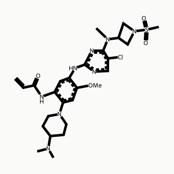 C=CC(=O)Nc1cc(Nc2ncc(Cl)c(N(C)C3CN(S(C)(=O)=O)C3)n2)c(OC)cc1N1CCC(N(C)C)CC1